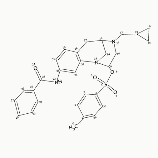 Cc1ccc(S(=O)(=O)OC2CN(CC3CC3)C3Cc4ccc(NC(=O)c5ccccc5)cc4N2C3)cc1